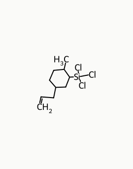 C=CCC1CCC(C)C([Si](Cl)(Cl)Cl)C1